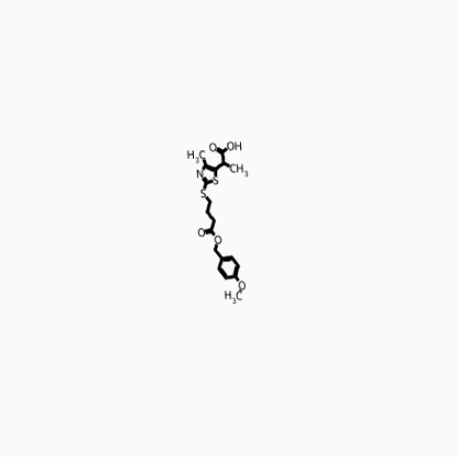 COc1ccc(COC(=O)CCCSc2nc(C)c(C(C)C(=O)O)s2)cc1